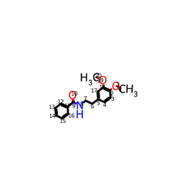 COc1ccc(CCNC(=O)c2ccccc2)cc1OC